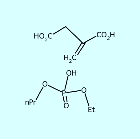 C=C(CC(=O)O)C(=O)O.CCCOP(=O)(O)OCC